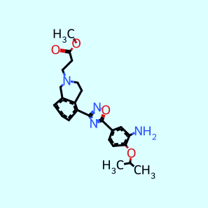 COC(=O)CCN1CCc2c(cccc2-c2noc(-c3ccc(OC(C)C)c(N)c3)n2)C1